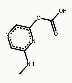 CNc1cncc(OC(=O)O)n1